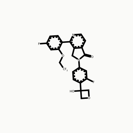 O=C1c2ccnc(-c3ccc(F)cc3OCC(F)(F)F)c2CN1c1ccc(C2(O)COC2)c(F)c1